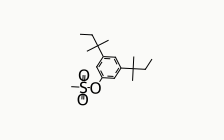 CCC(C)(C)c1cc(OS(C)(=O)=O)cc(C(C)(C)CC)c1